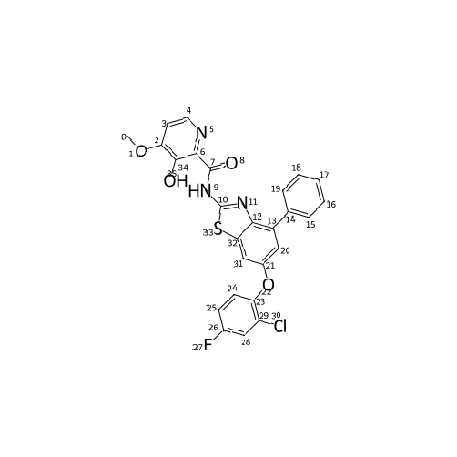 COc1ccnc(C(=O)Nc2nc3c(-c4ccccc4)cc(Oc4ccc(F)cc4Cl)cc3s2)c1O